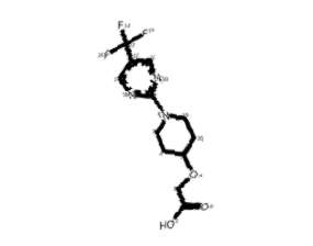 O=C(O)COC1CCN(c2ncc(C(F)(F)F)cn2)CC1